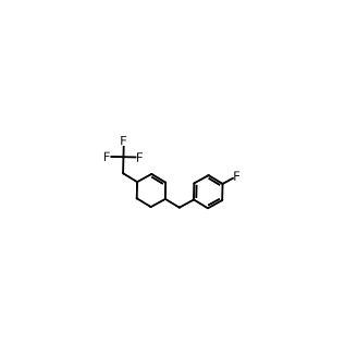 Fc1ccc(CC2C=CC(CC(F)(F)F)CC2)cc1